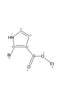 CCOC(=O)c1cc[nH]c1Br